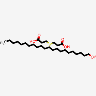 CCCCCCCCCCCCCCCCCCCCCCO.O=C(O)CCSCCC(=O)O